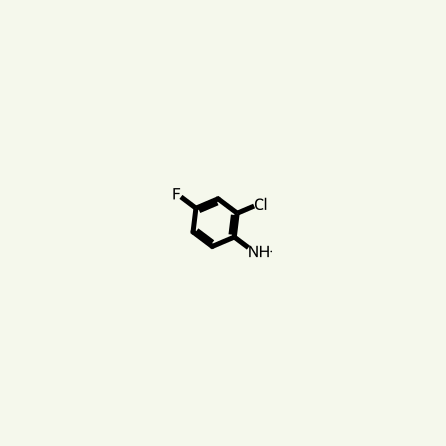 [NH]c1ccc(F)cc1Cl